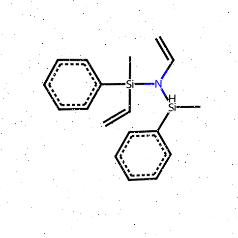 C=CN([SiH](C)c1ccccc1)[Si](C)(C=C)c1ccccc1